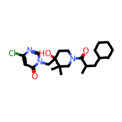 CC(CC1CCCCC1)C(=O)N1CCC(O)(Cn2cnc(Cl)cc2=O)C(C)(C)C1